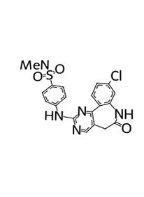 CNS(=O)(=O)c1ccc(Nc2ncc3c(n2)-c2ccc(Cl)cc2NC(=O)C3)cc1